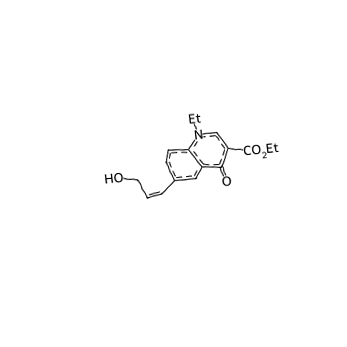 CCOC(=O)c1cn(CC)c2ccc(/C=C\CO)cc2c1=O